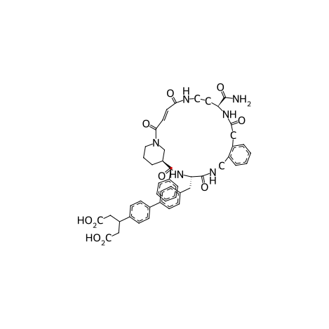 NC(=O)[C@@H]1CCNC(=O)/C=C/C(=O)N2CCC[C@](Cc3ccccc3)(C2)C(=O)N[C@@H](Cc2ccc(-c3ccc(C(CC(=O)O)CC(=O)O)cc3)cc2)C(=O)NCc2ccccc2CC(=O)N1